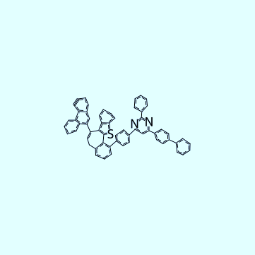 c1ccc2cc(C3=CCc4cccc(-c5ccc(-c6cc(-c7ccc(-c8ccccc8)cc7)nc(-c7ccccc7)n6)cc5)c4-c4sc5ccccc5c43)c3ccccc3c2c#1